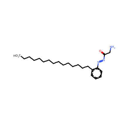 NCC(=O)N=Nc1ccccc1CCCCCCCCCCCCCCC(=O)O